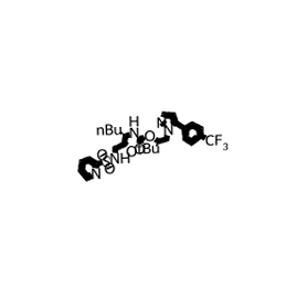 CCCC[C@H](NC(=O)O[C@H](Cn1nccc1-c1ccc(C(F)(F)F)cc1)C(C)(C)C)C(=O)CNS(=O)(=O)c1ccccn1